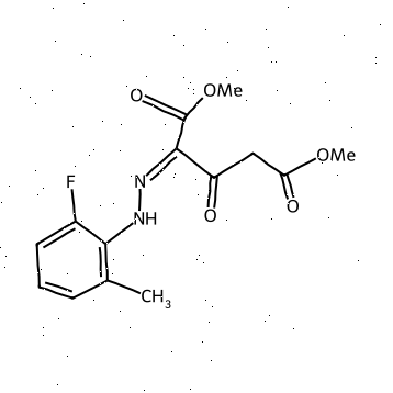 COC(=O)CC(=O)/C(=N\Nc1c(C)cccc1F)C(=O)OC